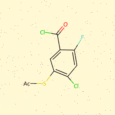 CC(=O)Sc1cc(C(=O)Cl)c(F)cc1Cl